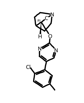 Cc1ccc(Cl)c(-c2cnc(O[C@H]3CN4CCC3CC4)nc2)c1